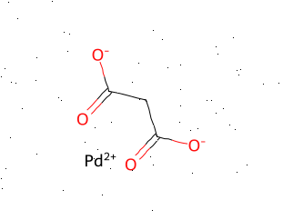 O=C([O-])CC(=O)[O-].[Pd+2]